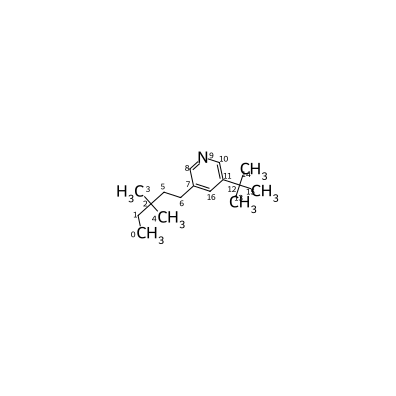 CCC(C)(C)CCc1cncc(C(C)(C)C)c1